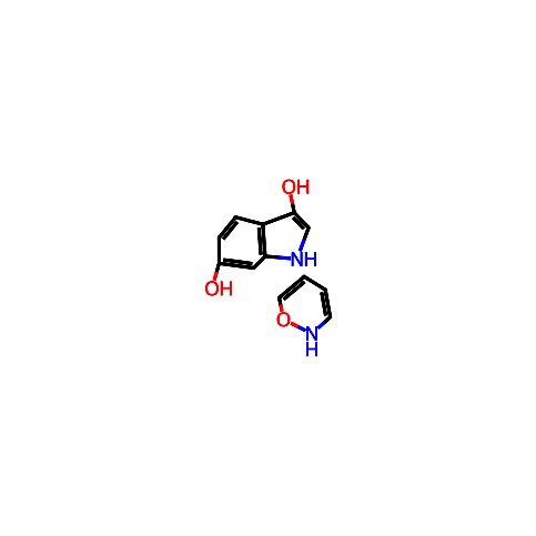 C1=CNOC=C1.Oc1ccc2c(O)c[nH]c2c1